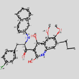 CCCc1cc2nc(O)c(C(=O)C(Cc3ccc(Cl)cc3)Nc3ccc4ccccc4c3)c(O)c2c(OC)c1OC